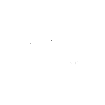 CCCCC(Cc1c(I)cc(I)c(NC(C)=O)c1I)C(N)=O